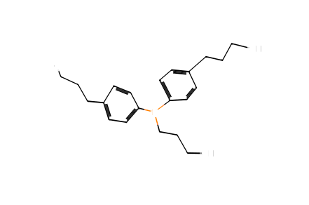 CCCCc1ccc(P(CCCC)c2ccc(CCCC)cc2)cc1